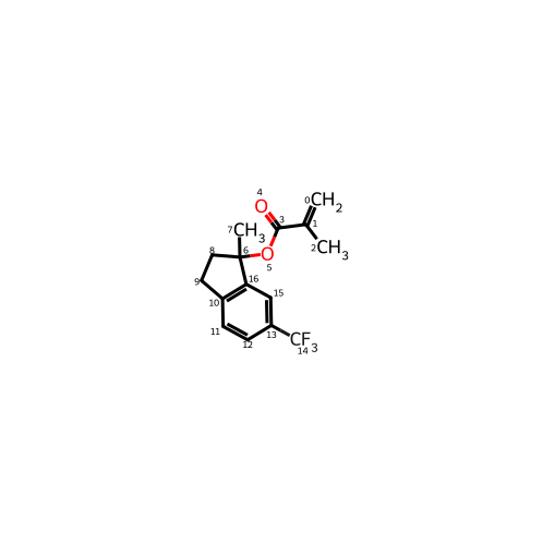 C=C(C)C(=O)OC1(C)CCc2ccc(C(F)(F)F)cc21